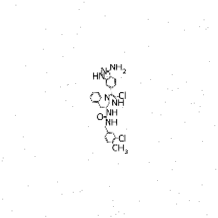 Cc1ccc(CNC(=O)N[C@@H](Cc2ccccc2)c2nc(-c3ccc4c(N)n[nH]c4c3)c(Cl)[nH]2)cc1Cl